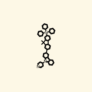 CC1(C)c2cc(-c3ccc4c(c3)c3ccccc3n4-c3ccncc3)ccc2-c2ccc([Si](c3ccccc3)(c3ccccc3)c3ccccc3)cc21